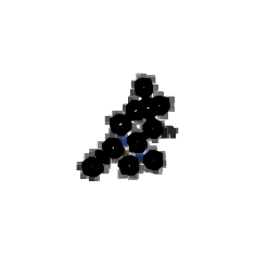 CC(C)c1cc(-c2cc3c4c(c2)N(c2ccccc2)c2ccc(C(C)(C)c5ccccc5)cc2B4c2ccccc2N3c2ccccc2)cc(-c2c3ccccc3c(-c3ccccc3)c3ccccc23)c1